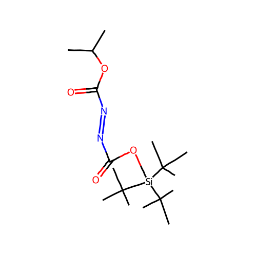 CC(C)OC(=O)/N=N/C(=O)O[Si](C(C)(C)C)(C(C)(C)C)C(C)(C)C